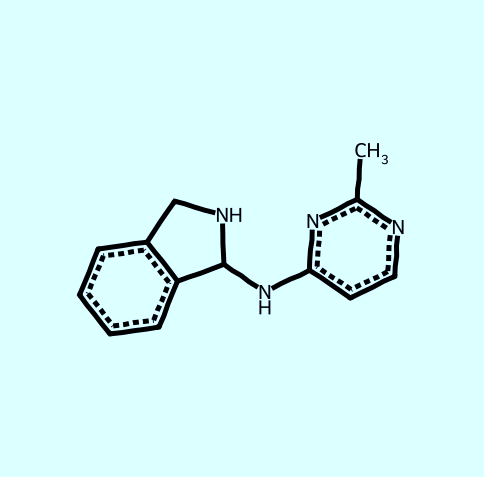 Cc1nccc(NC2NCc3ccccc32)n1